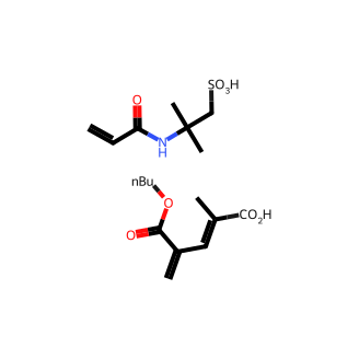 C=C(C=C(C)C(=O)O)C(=O)OCCCC.C=CC(=O)NC(C)(C)CS(=O)(=O)O